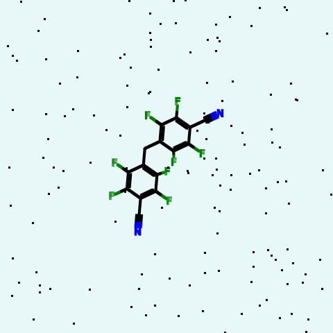 N#Cc1c(F)c(F)c(Cc2c(F)c(F)c(C#N)c(F)c2F)c(F)c1F